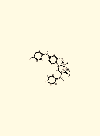 Cc1ccc(Oc2ccc(N(C[C@@H](C(N)=O)N(C)c3ccncc3)S(C)(=O)=O)cc2)cc1